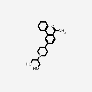 NC(=O)c1ccc(C2CCN(C(CO)CO)CC2)cc1C1=CCCCC1